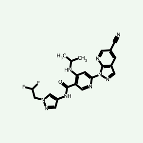 CC(C)Nc1cc(-n2ncc3cc(C#N)cnc32)ncc1C(=O)Nc1cnn(CC(F)F)c1